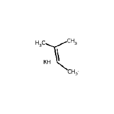 [CH2]C=C(C)C.[KH]